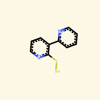 SSc1ncccc1-c1ccccn1